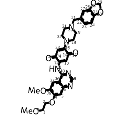 COCCOc1cc2ncnc(NC3=CC(=O)C(N4CCN(Cc5ccc6c(c5)OCO6)CC4)=CC3=O)c2cc1OC